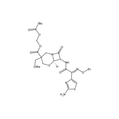 CCON=C(C(=O)NC1C(=O)N2CC(COC)(C(=O)OCOC(=O)C(C)(C)C)CS[C@H]12)c1csc(N)n1